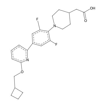 O=C(O)CC1CCN(c2c(F)cc(-c3cccc(OCC4CCC4)n3)cc2F)CC1